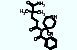 CC(C)(C[CH]C(=O)N(C(=O)c1ccccc1)C1(C#N)CCNCC1)C(N)=O